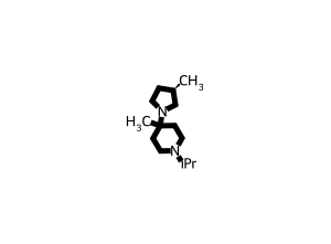 CC(C)N1CCC(C)(N2CC[C@H](C)C2)CC1